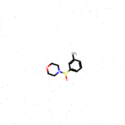 Cc1cccc([S+]([O-])N2CCOCC2)c1